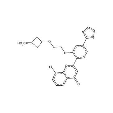 O=c1cc(-c2ccc(-c3nccs3)cc2OCCO[C@H]2C[C@H](C(=O)O)C2)oc2c(Cl)cccc12